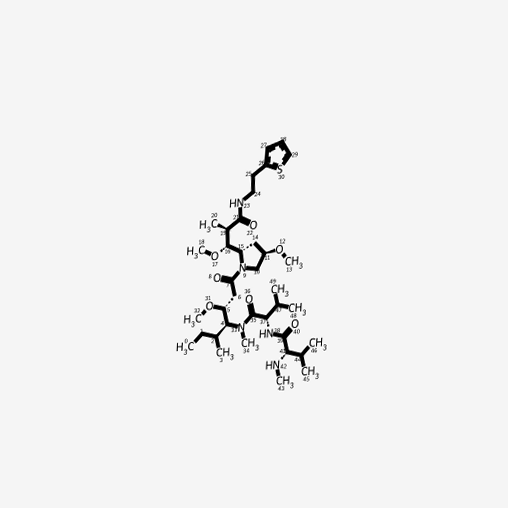 CCC(C)[C@@H]([C@@H](CC(=O)N1C[C@H](OC)C[C@H]1[C@H](OC)[C@@H](C)C(=O)NCCc1cccs1)OC)N(C)C(=O)[C@@H](NC(=O)[C@@H](NC)C(C)C)C(C)C